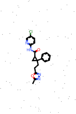 Cc1nnc(CCC2(c3ccccc3)CC2C(=O)Nc2ccc(Cl)cn2)o1